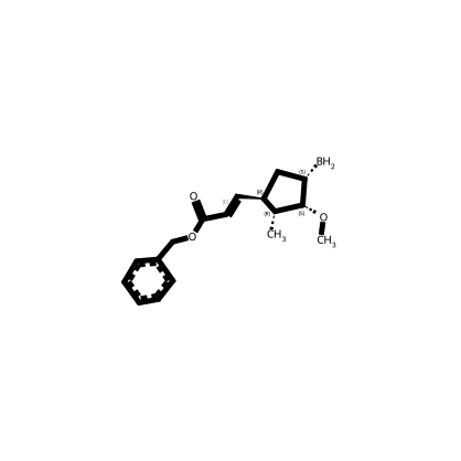 B[C@H]1C[C@H](/C=C/C(=O)OCc2ccccc2)[C@@H](C)[C@H]1OC